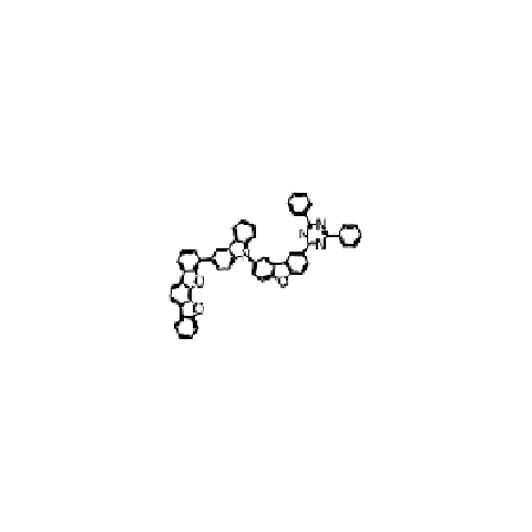 c1ccc(-c2nc(-c3ccccc3)nc(-c3ccc4oc5ccc(-n6c7ccccc7c7cc(-c8cccc9c8oc8c9ccc9c%10ccccc%10oc98)ccc76)cc5c4c3)n2)cc1